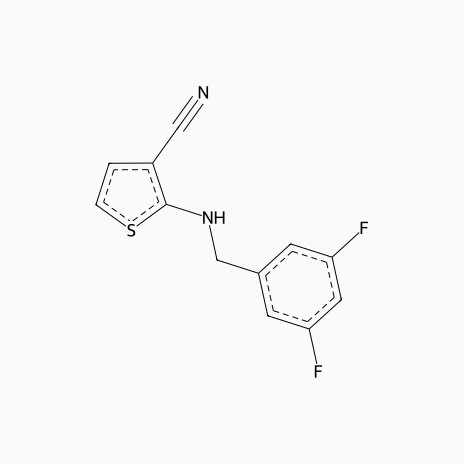 N#Cc1ccsc1NCc1cc(F)cc(F)c1